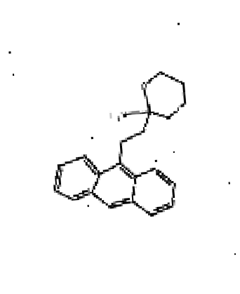 [SiH3]C1(CCc2c3ccccc3cc3ccccc23)CCCCO1